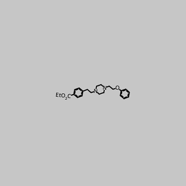 CCOC(=O)c1ccc(CCN2CCN(CCOc3ccccc3)CC2)cc1